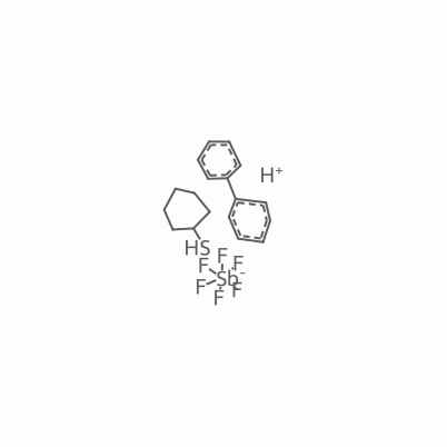 SC1CCCCC1.[F][Sb-]([F])([F])([F])([F])[F].[H+].c1ccc(-c2ccccc2)cc1